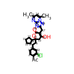 CC(=O)c1ccc(CCC2(C3CCCC3)CC(O)=C(Cc3nc4nc(C)cc(C)n4n3)C(=O)O2)cc1Cl